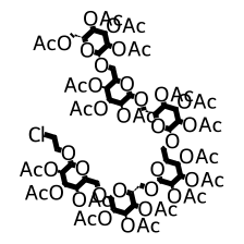 CC(=O)OC[C@H]1O[C@@H](OCC2OC(OC[C@H]3O[C@@H](OCC4OC(OC[C@H]5O[C@@H](OCC6OC(OCCCl)[C@H](OC(C)=O)C(OC(C)=O)[C@@H]6OC(C)=O)C(OC(C)=O)[C@@H](OC(C)=O)C5OC(C)=O)[C@H](OC(C)=O)C(OC(C)=O)[C@@H]4OC(C)=O)C(OC(C)=O)[C@@H](OC(C)=O)C3OC(C)=O)[C@H](OC(C)=O)C(OC(C)=O)[C@@H]2OC(C)=O)C(OC(C)=O)[C@@H](OC(C)=O)C1OC(C)=O